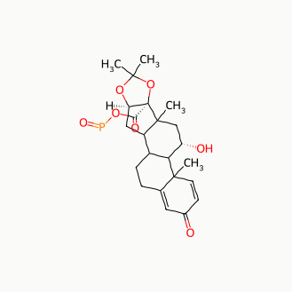 CC1(C)O[C@@H]2CC3C4CCC5=CC(=O)C=CC5(C)C4[C@@H](O)CC3(C)[C@]2(C(=O)OP=O)O1